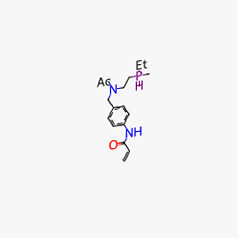 C=CC(=O)Nc1ccc(CN(CC[PH](C)(C)CC)C(C)=O)cc1